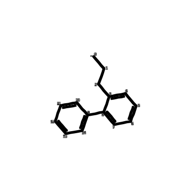 [CH2]CCc1ccccc1-c1[c]cccc1